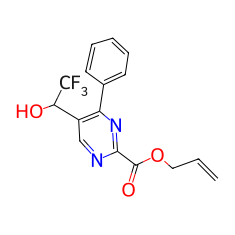 C=CCOC(=O)c1ncc(C(O)C(F)(F)F)c(-c2ccccc2)n1